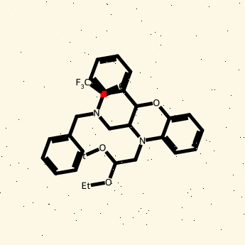 CCOC(CN1c2ccccc2OC(c2ccccc2)C1CN(Cc1ccccc1)C(=O)C(F)(F)F)OCC